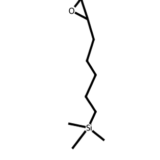 C[Si](C)(C)CCCCCC1CO1